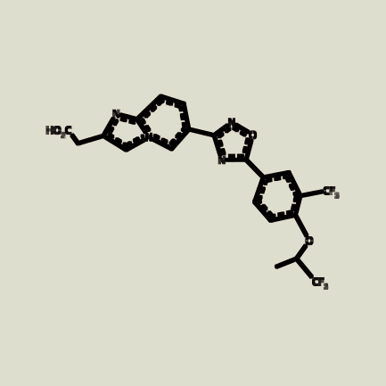 CC(Oc1ccc(-c2nc(-c3ccc4nc(CC(=O)O)cn4c3)no2)cc1C(F)(F)F)C(F)(F)F